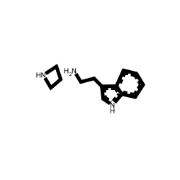 C1CNC1.NCCc1c[nH]c2ccccc12